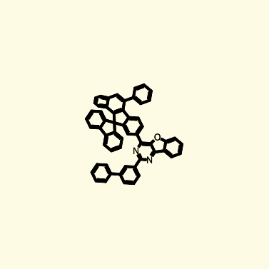 c1ccc(-c2cccc(-c3nc(-c4ccc5c(c4)C4(c6ccccc6-c6ccccc64)c4c-5c(-c5ccccc5)cc5ccccc45)c4oc5ccccc5c4n3)c2)cc1